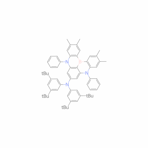 Cc1cc2c(cc1C)N(c1ccccc1)c1cc(N(c3cc(C(C)(C)C)cc(C(C)(C)C)c3)c3cc(C(C)(C)C)cc(C(C)(C)C)c3)cc3c1B2c1cc(C)c(C)cc1N3c1ccccc1